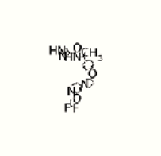 C[C@H](NC(=O)c1cn[nH]c1)c1ccc(OC2CCN(c3ccnc(OCC(F)F)c3)C2)cc1